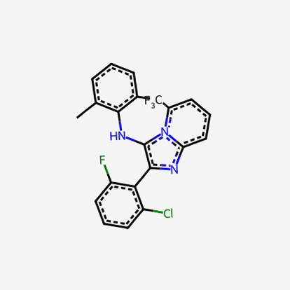 Cc1cccc(C)c1Nc1c(-c2c(F)cccc2Cl)nc2cccc(C(F)(F)F)n12